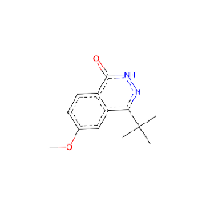 COc1ccc2c(=O)[nH]nc(C(C)(C)C)c2c1